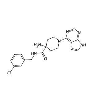 NC1(C(=O)NCc2cccc(Cl)c2)CCN(c2ncnc3[nH]ccc23)CC1